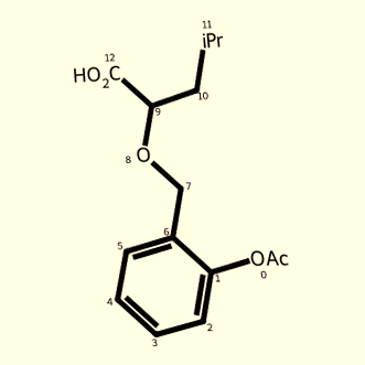 CC(=O)Oc1ccccc1COC(CC(C)C)C(=O)O